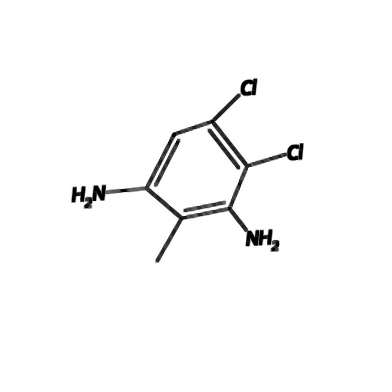 Cc1c(N)cc(Cl)c(Cl)c1N